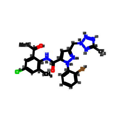 CNC(=O)c1cc(Cl)cc(C)c1NC(=O)c1cc(Cn2nnc(C(F)(F)F)n2)nn1-c1ccccc1Br